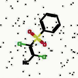 N#CC(Cl)=C(Cl)S(=O)(=O)c1ccccc1